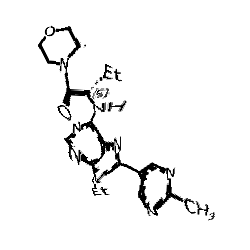 CC[C@H](Nc1ncnc2c1nc(-c1cnc(C)nc1)n2CC)C(=O)N1[CH]COCC1